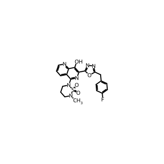 CN1CCCN(c2nc(-c3nnc(Cc4ccc(F)cc4)o3)c(O)c3ncccc23)S1(=O)=O